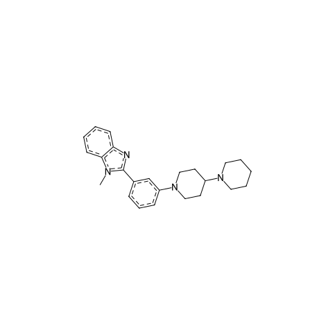 Cn1c(-c2cccc(N3CCC(N4CCCCC4)CC3)c2)nc2ccccc21